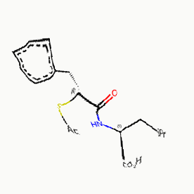 CC(=O)S[C@H](Cc1ccccc1)C(=O)N[C@@H](CC(C)C)C(=O)O